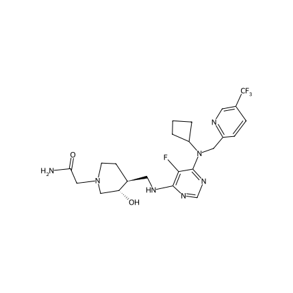 NC(=O)CN1CC[C@@H](CNc2ncnc(N(Cc3ccc(C(F)(F)F)cn3)C3CCC3)c2F)[C@H](O)C1